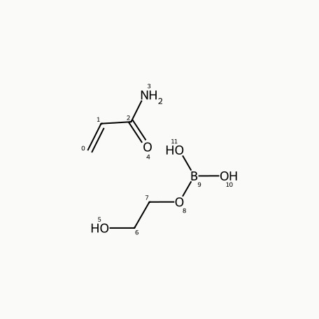 C=CC(N)=O.OCCOB(O)O